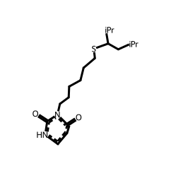 CC(C)CC(SCCCCCCn1c(=O)cc[nH]c1=O)C(C)C